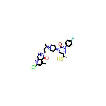 Cc1cc(Cl)nc(C)c1C(=O)NCCC(C)N1CCC(N(CC[C@@H](C)S)C(=O)Nc2ccc(F)cc2)CC1